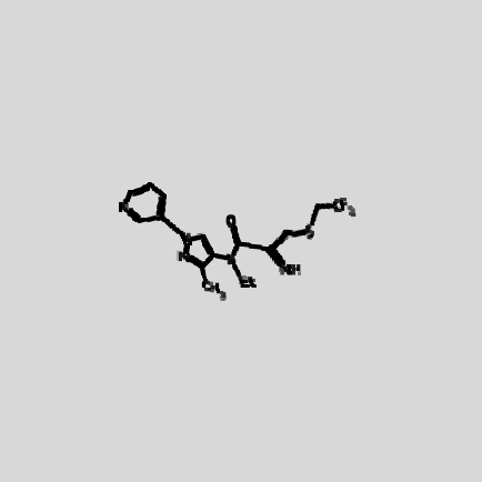 CCN(C(=O)C(=N)CSCC(F)(F)F)c1cn(-c2cccnc2)nc1C